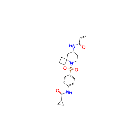 C=CC(=O)NC1CCN(S(=O)(=O)c2ccc(NC(=O)C3CC3)cc2)C2(CCC2)C1